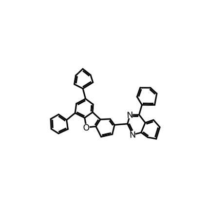 c1ccc(-c2cc(-c3ccccc3)c3oc4ccc(-c5nc(-c6ccccc6)c6ccccc6n5)cc4c3c2)cc1